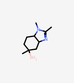 BC1(C)CCC2C(C1)N=C(C)N2C